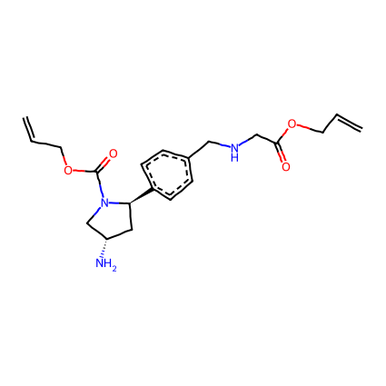 C=CCOC(=O)CNCc1ccc([C@H]2C[C@H](N)CN2C(=O)OCC=C)cc1